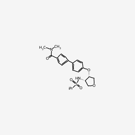 CC(C)S(=O)(=O)N[C@H]1COC[C@H]1Oc1ccc(-c2ccc(C(=O)N(C)C)cc2)cc1